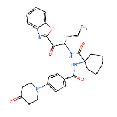 CCC[C@H](NC(=O)C1(NC(=O)c2ccc(N3CCC(=O)CC3)cc2)CCCCC1)C(=O)c1nc2ccccc2o1